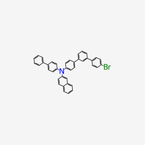 Brc1ccc(-c2cccc(-c3ccc(N(c4ccc(-c5ccccc5)cc4)c4ccc5ccccc5c4)cc3)c2)cc1